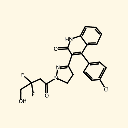 O=C(CC(F)(F)CO)N1CCC(c2c(-c3ccc(Cl)cc3)c3ccccc3[nH]c2=O)=N1